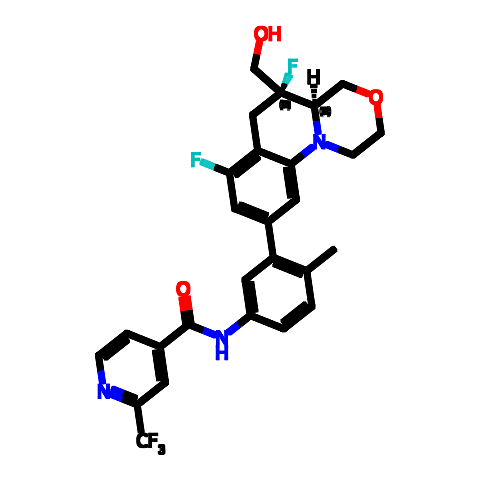 Cc1ccc(NC(=O)c2ccnc(C(F)(F)F)c2)cc1-c1cc(F)c2c(c1)N1CCOC[C@@H]1[C@@](F)(CO)C2